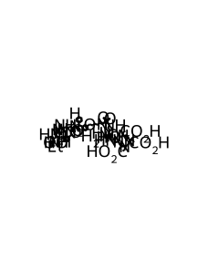 CCC(=O)NCCNC(=O)/N=C(/N)NCCCC(NC(=O)[C@H](c1ccccc1)c1cccc(OCCCCNc2c(NCCNC(=O)[C@@H](CN)NC(=O)CN3CCN(CC(=O)O)CCN(CC(=O)O)CCN(CC(=O)O)CC3)c(=O)c2=O)c1)C(=O)NCc1ccc(O)cc1